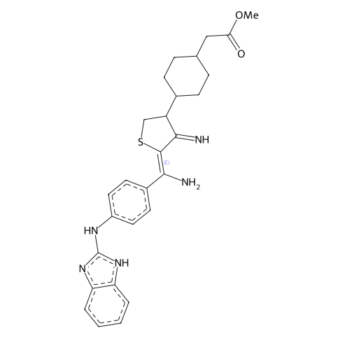 COC(=O)CC1CCC(C2CS/C(=C(/N)c3ccc(Nc4nc5ccccc5[nH]4)cc3)C2=N)CC1